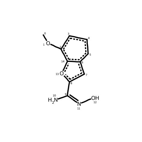 COc1cccc2cc(/C(N)=N\O)oc12